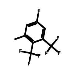 Cc1cc(F)cc(C(F)(F)F)c1C(F)(F)F